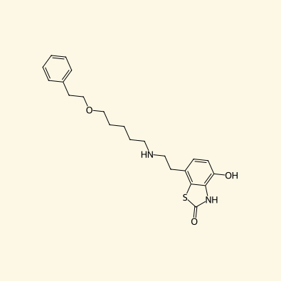 O=c1[nH]c2c(O)ccc(CCNCCCCCOCCc3ccccc3)c2s1